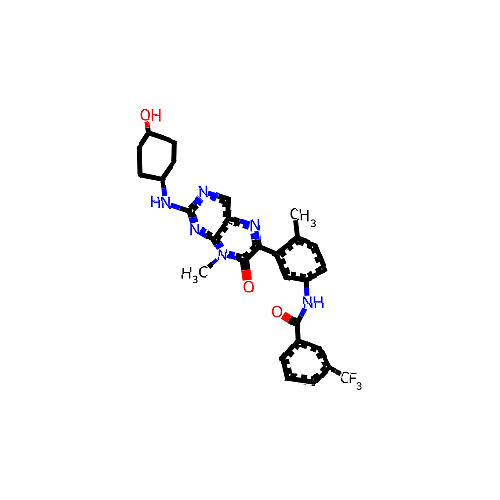 Cc1ccc(NC(=O)c2cccc(C(F)(F)F)c2)cc1-c1nc2cnc(NC3CCC(O)CC3)nc2n(C)c1=O